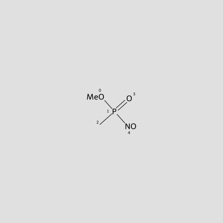 COP(C)(=O)N=O